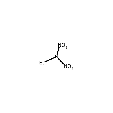 [CH2]CN([N+](=O)[O-])[N+](=O)[O-]